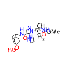 COC(=O)NC(C)(C)/C=C/n1ncc(C(=O)NC2C3CC4CC2CC(OO)(C4)C3)c1-n1cccn1